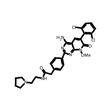 COn1c(=O)c(-c2c(Cl)cccc2Cl)cc2c(N)nc(-c3ccc(CC(=O)NCCN4CCCC4)cc3)nc21